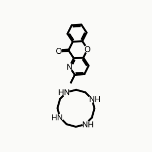 C1CNCCNCCNCCN1.Cc1ccc2oc3ccccc3c(=O)c2n1